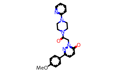 COc1ccc(-c2ccc(=O)n(CC(=O)N3CCN(c4ccccn4)CC3)n2)cc1